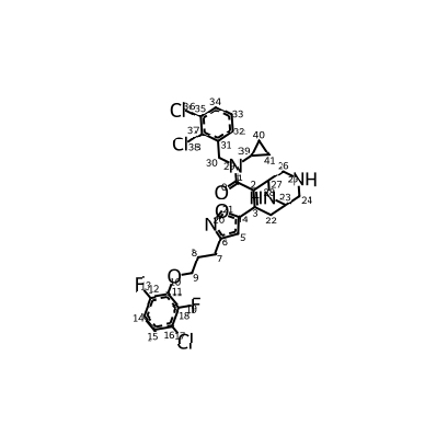 O=C(C1=C(c2cc(CCCOc3c(F)ccc(Cl)c3F)no2)CC2CNCC1N2)N(Cc1cccc(Cl)c1Cl)C1CC1